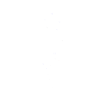 C=C/C=C\C(=C/C)Cc1c(C(=O)NCc2ccc(-n3cnc4c(N)nccc43)cc2)cnn1C